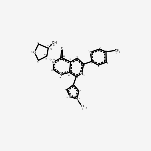 Cn1cc(-c2nc(-c3ccc(C(F)(F)F)cn3)cc3c(=O)n([C@@H]4COC[C@H]4O)cnc23)cn1